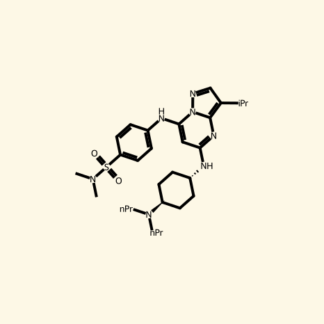 CCCN(CCC)[C@H]1CC[C@H](Nc2cc(Nc3ccc(S(=O)(=O)N(C)C)cc3)n3ncc(C(C)C)c3n2)CC1